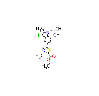 CCOC(=O)c1sc(-c2ccc3c(c2)c(Cl)c(C)n3CC(C)C)nc1C